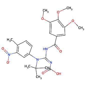 COc1cc(C(=O)NC(=NC(=O)O)N(c2ccc(C)c([N+](=O)[O-])c2)C(C)(C)C)cc(OC)c1OC